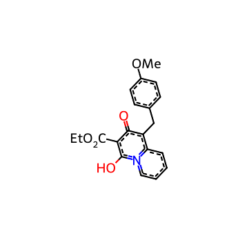 CCOC(=O)c1c(O)n2ccccc2c(Cc2ccc(OC)cc2)c1=O